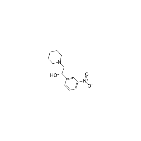 O=[N+]([O-])c1cccc(C(O)CN2CCCCC2)c1